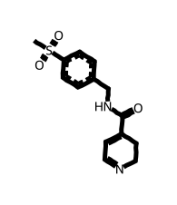 CS(=O)(=O)c1ccc(CNC(=O)C2=CC=NCC2)cc1